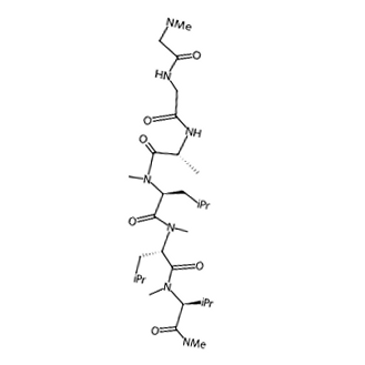 CNCC(=O)NCC(=O)N[C@H](C)C(=O)N(C)[C@@H](CC(C)C)C(=O)N(C)[C@@H](CC(C)C)C(=O)N(C)[C@H](C(=O)NC)C(C)C